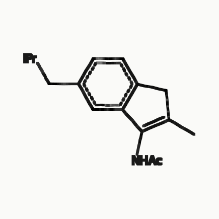 CC(=O)NC1=C(C)Cc2ccc(CC(C)C)cc21